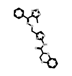 Cc1snnc1/C(=N\OCc1csc(NC(=O)C2COc3ccccc3O2)n1)c1ccccc1